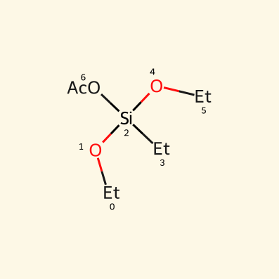 CCO[Si](CC)(OCC)OC(C)=O